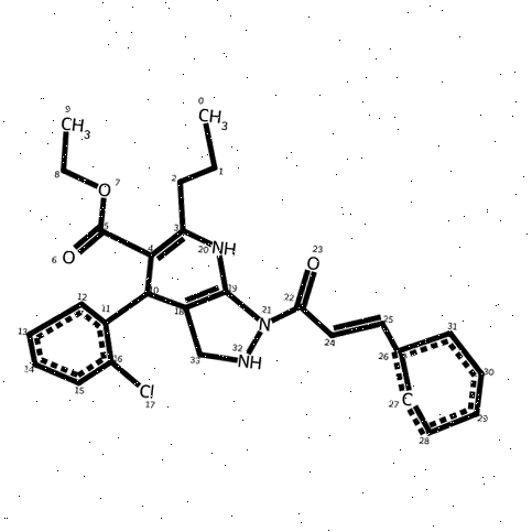 CCCC1=C(C(=O)OCC)C(c2ccccc2Cl)C2=C(N1)N(C(=O)C=Cc1ccccc1)NC2